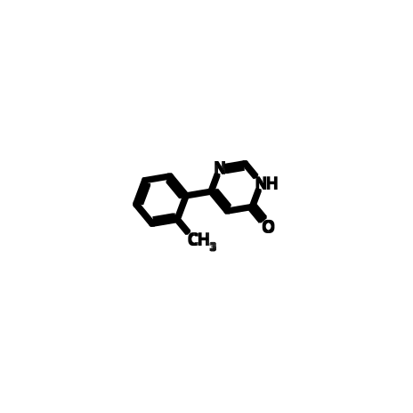 Cc1ccccc1-c1cc(=O)[nH]cn1